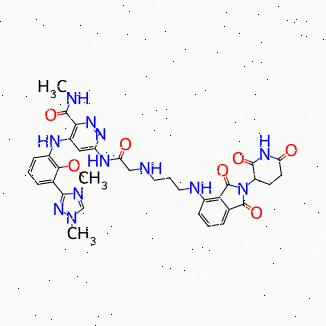 CNC(=O)c1nnc(NC(=O)CNCCCNc2cccc3c2C(=O)N(C2CCC(=O)NC2=O)C3=O)cc1Nc1cccc(-c2ncn(C)n2)c1OC